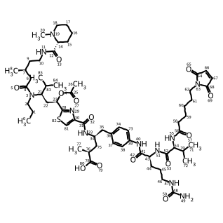 CCCN(C(=O)C[C@@H](C)CCNC(=O)[C@H]1CCCCN1C)[C@H](C[C@@H](OC(C)=O)c1nc(C(=O)N[C@@H](Cc2ccc(NC(=O)[C@H](CCCNC(N)=O)NC(=O)[C@@H](NC(=O)CCCCCN3C(=O)C=CC3=O)C(C)C)cc2)C[C@H](C)C(=O)O)cs1)C(C)C